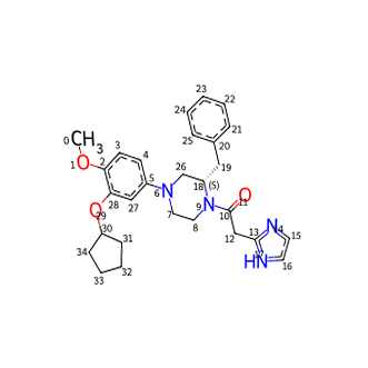 COc1ccc(N2CCN(C(=O)Cc3ncc[nH]3)[C@@H](Cc3ccccc3)C2)cc1OC1CCCC1